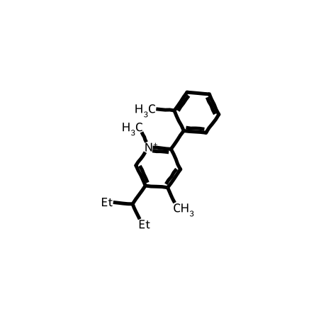 CCC(CC)c1c[n+](C)c(-c2ccccc2C)cc1C